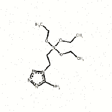 CCO[Si](CCn1nnnc1N)(OCC)OCC